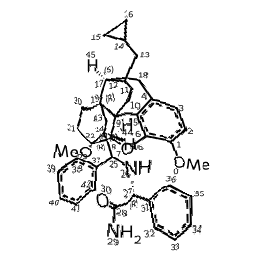 COc1ccc2c3c1O[C@@H]1C34CCC(CC3CC3)[C@H](C2)[C@]42CC[C@@]1(OC)[C@@H](C(N[C@@H](C(N)=O)c1ccccc1)c1ccccc1)C2